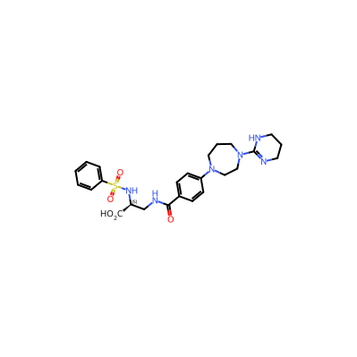 O=C(NC[C@H](NS(=O)(=O)c1ccccc1)C(=O)O)c1ccc(N2CCCN(C3=NCCCN3)CC2)cc1